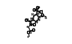 COC(=O)Cn1oc2cc(OC)c(S(=O)(=O)Cl)cc2c1=O